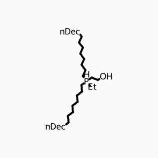 CCCCCCCCCCCCCCCCCC[PH](CC)(CCO)CCCCCCCCCCCCCCCCCC